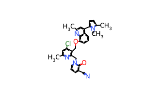 Cc1cc(Cl)c(COc2cccc3c(-c4ccc(C)n4C)cc(C)nc23)c(Cn2cccc(C#N)c2=O)n1